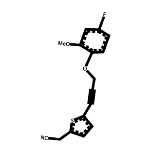 COc1cc(F)ccc1OCC#Cc1ccc(CC#N)s1